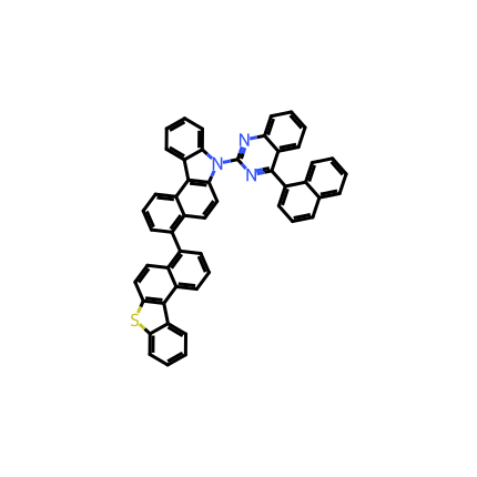 c1ccc2c(-c3nc(-n4c5ccccc5c5c6cccc(-c7cccc8c7ccc7sc9ccccc9c78)c6ccc54)nc4ccccc34)cccc2c1